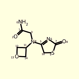 NC(=O)CN(C1=NC(=O)SC1)C1COC1